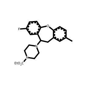 CCOC(=O)N1CCN(C2Cc3cc(C)ccc3Oc3ccc(F)cc32)CC1